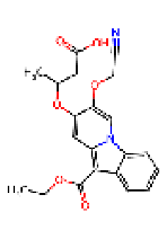 CCOC(=O)c1c2ccccc2n2cc(OCC#N)c(OC(C)CC(=O)O)cc12